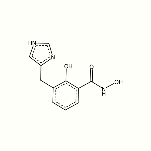 O=C(NO)c1cccc(Cc2c[nH]cn2)c1O